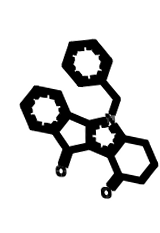 O=C1CCCc2c1c1c(n2Cc2ccccc2)-c2ccccc2C1=O